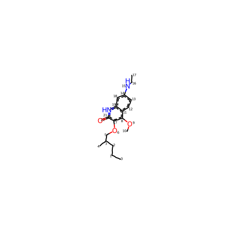 CCCC(C)COc1c(OC)c2ccc(NCC)cc2[nH]c1=O